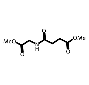 COC(=O)CCC(=O)NCC(=O)OC